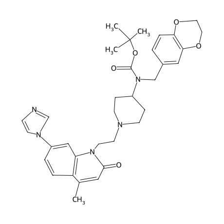 Cc1cc(=O)n(CCN2CCC(N(Cc3ccc4c(c3)OCCO4)C(=O)OC(C)(C)C)CC2)c2cc(-n3ccnc3)ccc12